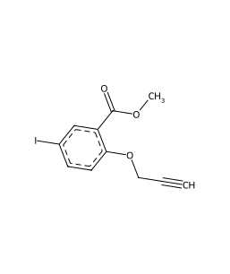 C#CCOc1ccc(I)cc1C(=O)OC